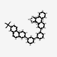 CC(C)(C)c1ccc2c(ccc3cc(-c4cccc(-c5cccc(-c6ccc7c8ccccc8c8nsnc8c7c6)c5)c4)ccc32)c1